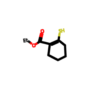 CCOC(=O)C1=C(S)CCCC1